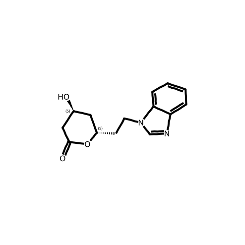 O=C1C[C@@H](O)C[C@H](CCn2cnc3ccccc32)O1